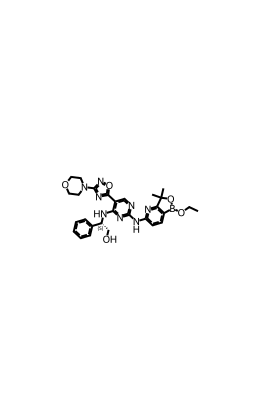 CCOB1OC(C)(C)c2nc(Nc3ncc(-c4nc(N5CCOCC5)no4)c(N[C@H](CO)c4ccccc4)n3)ccc21